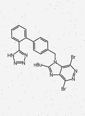 CCCCc1nc2c(Br)nnc(Br)c2n1Cc1ccc(-c2ccccc2-c2nnn[nH]2)cc1